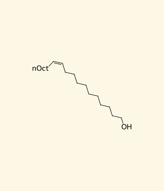 CCCCCCCC/C=C\CCCCCCCCCCO